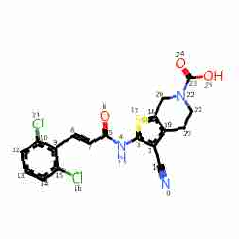 N#Cc1c(NC(=O)C=Cc2c(Cl)cccc2Cl)sc2c1CCN(C(=O)O)C2